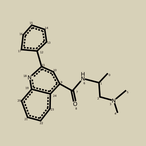 CC(CN(C)C)NC(=O)c1cc(-c2ccccc2)nc2ccccc12